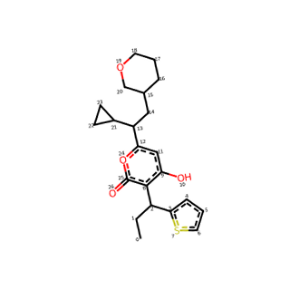 CCC(c1cccs1)c1c(O)cc(C(CC2CCCOC2)C2CC2)oc1=O